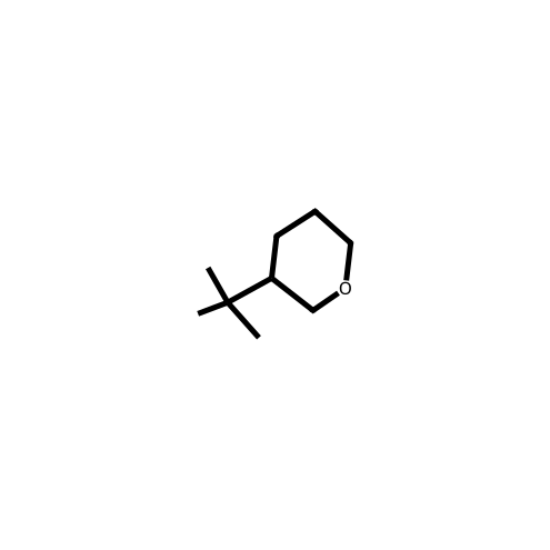 CC(C)(C)C1CCCOC1